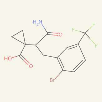 NC(=O)C(Cc1cc(C(F)(F)F)ccc1Br)C1(C(=O)O)CC1